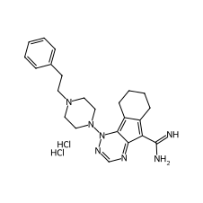 Cl.Cl.N=C(N)c1c2ncnn(N3CCN(CCc4ccccc4)CC3)c-2c2c1CCCC2